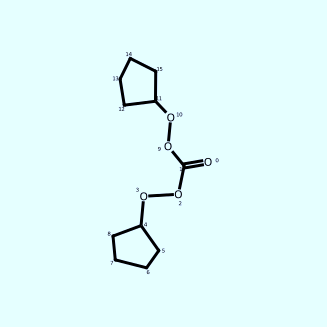 O=C(OOC1CCCC1)OOC1CCCC1